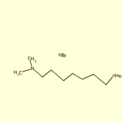 Br.CCCCCCCCCCCCCN(C)C